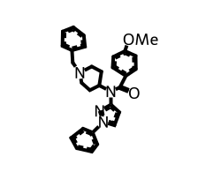 COc1ccc(C(=O)N(c2ccn(-c3ccccc3)n2)C2CCN(Cc3ccccc3)CC2)cc1